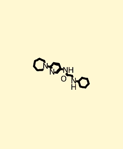 O=C(CNC1CCCCC1)Nc1ccc(N2CCCCCC2)nc1